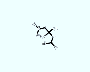 CC(C)(C[SiH](O)O)OC(O)O